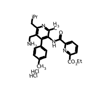 CCOC(=O)c1cccc(C(=O)Nc2c(C)nc(CC(C)C)c(CN)c2-c2ccc(C)cc2)n1.Cl.Cl